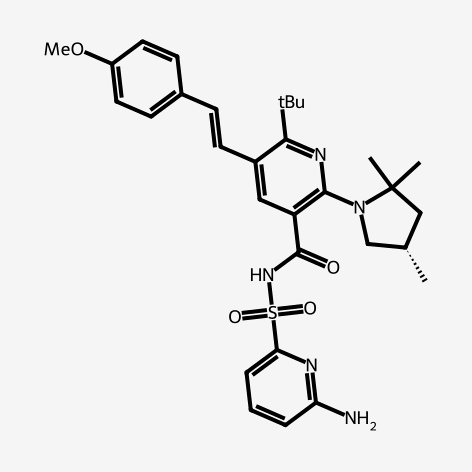 COc1ccc(C=Cc2cc(C(=O)NS(=O)(=O)c3cccc(N)n3)c(N3C[C@@H](C)CC3(C)C)nc2C(C)(C)C)cc1